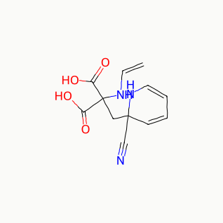 C=CNC(CC1(C#N)C=CC=CN1)(C(=O)O)C(=O)O